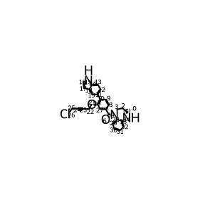 C[C@H]1CCN(C(=O)c2ccc(-c3ccc4[nH]ccc4c3)c(OCC#CCCl)c2)c2ccccc2N1